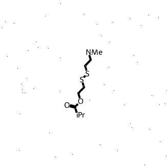 CNCCSSCCOC(=O)C(C)C